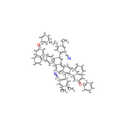 Cc1cc(C#N)c(-c2cc3c4cc5c(c(-c6cc(C)c(C)cc6C#N)c4ccc3c3cc4c(cc23)-c2cc(Oc3ccccc3)cc3cccc-4c23)-c2cc(Oc3ccccc3)cc3cccc-5c23)cc1C